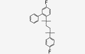 CC(C)(CCC(C)(C)c1ccc(F)cc1-c1ccccc1)c1ccc(F)cc1